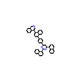 c1ccc2c(-c3cc(-c4ccc(-c5ccc(-c6cncc7ccccc67)c6ccccc56)cc4)nc(-c4cccc5ccccc45)n3)cccc2c1